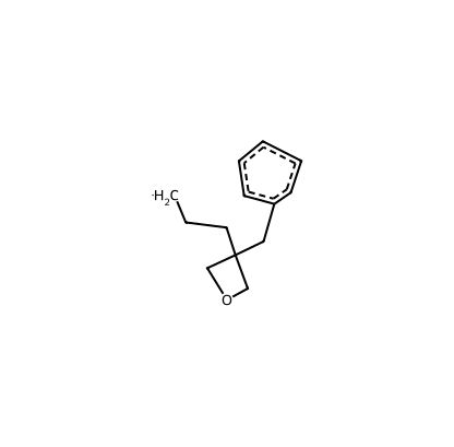 [CH2]CCC1(Cc2ccccc2)COC1